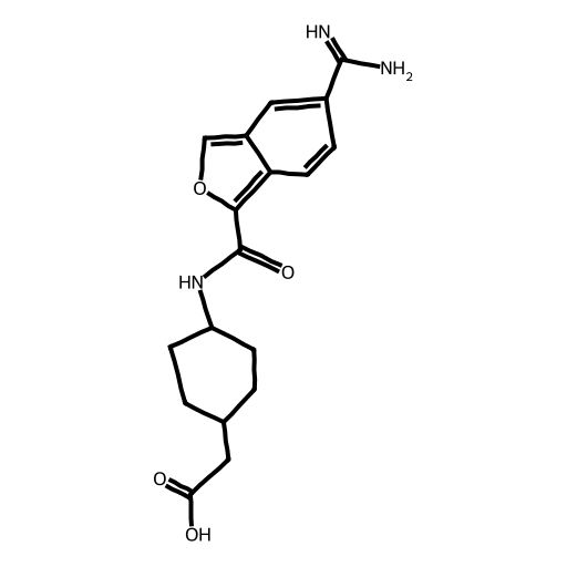 N=C(N)c1ccc2c(C(=O)NC3CCC(CC(=O)O)CC3)occ2c1